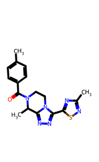 Cc1ccc(C(=O)N2CCn3c(-c4nc(C)ns4)nnc3C2C)cc1